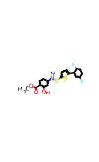 COC(=O)c1ccc(NSc2ccc(-c3cc(F)ccc3F)s2)cc1O